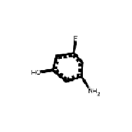 Nc1cc(O)cc(F)c1